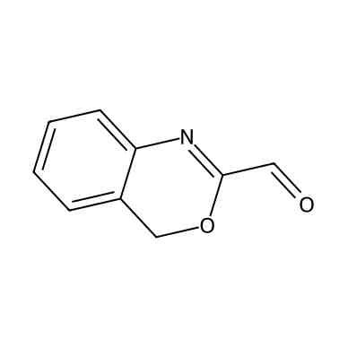 O=CC1=Nc2ccccc2CO1